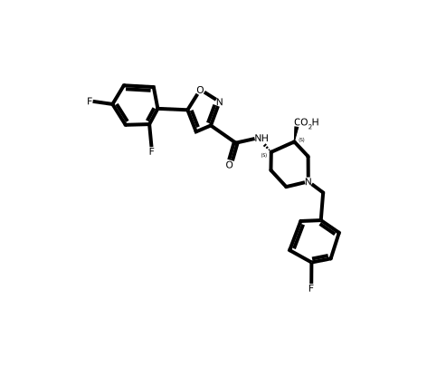 O=C(N[C@H]1CCN(Cc2ccc(F)cc2)C[C@@H]1C(=O)O)c1cc(-c2ccc(F)cc2F)on1